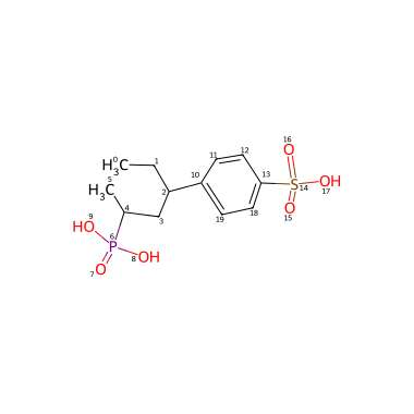 CCC(CC(C)P(=O)(O)O)c1ccc(S(=O)(=O)O)cc1